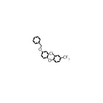 FC(F)(F)c1ccc(Oc2ccc(OCc3ccccc3)cc2)c(Cl)c1